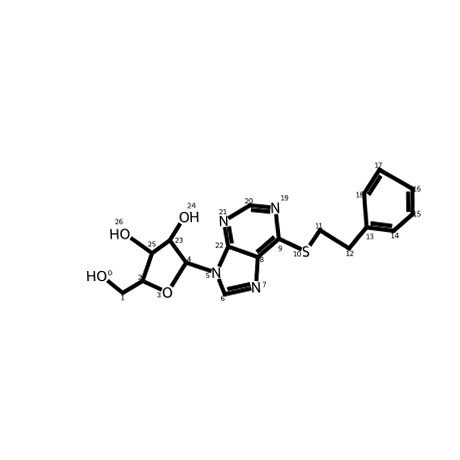 OCC1OC(n2cnc3c(SCCc4ccccc4)ncnc32)C(O)C1O